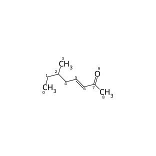 CCC(C)CC=CC(C)=O